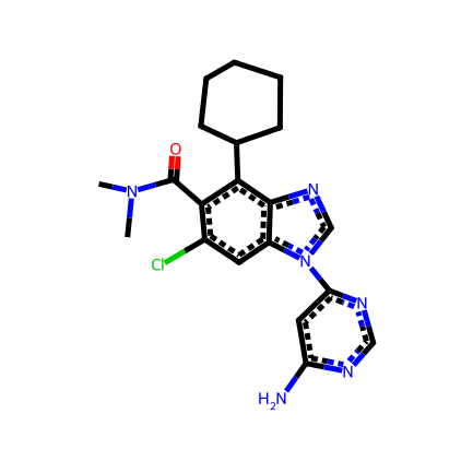 CN(C)C(=O)c1c(Cl)cc2c(ncn2-c2cc(N)ncn2)c1C1CCCCC1